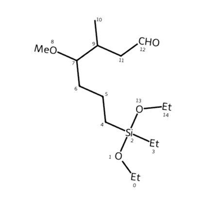 CCO[Si](CC)(CCCC(OC)C(C)CC=O)OCC